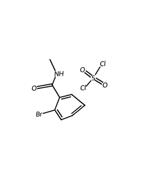 CNC(=O)c1ccccc1Br.O=S(=O)(Cl)Cl